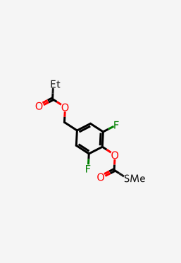 CCC(=O)OCc1cc(F)c(OC(=O)SC)c(F)c1